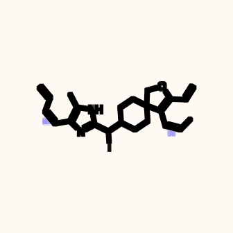 C=C/C=C\c1nc(C(I)C2CCC3(CC2)COC(C=C)=C3/C=C\C)[nH]c1C